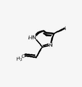 C=Cc1nc(I)c[nH]1